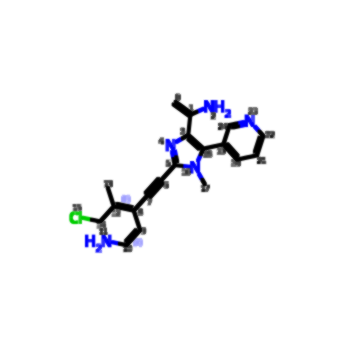 C=C(N)c1nc(C#CC(/C=C\N)=C(\C)CCl)n(C)c1-c1cccnc1